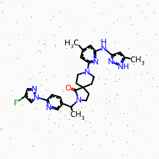 Cc1cc(Nc2cc(C)[nH]n2)nc(N2CCC3(CC2)CCN(C(C)c2ccc(-n4cc(F)cn4)nc2)C3=O)c1